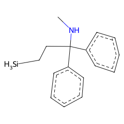 CNC(CC[SiH3])(c1ccccc1)c1ccccc1